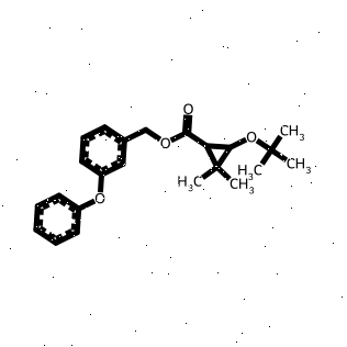 CC(C)(C)OC1C(C(=O)OCc2cccc(Oc3ccccc3)c2)C1(C)C